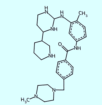 Cc1ccc(NC(=O)c2ccc(CN3CCN(C)CC3)cc2)cc1NC1NCCC(C2CCCNC2)N1